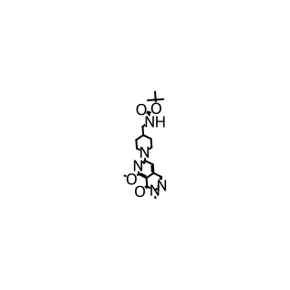 COc1nc(N2CCC(CNC(=O)OC(C)(C)C)CC2)cc2cnn(C)c(=O)c12